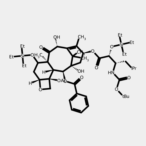 CC[Si](CC)(CC)OC1C[C@H]2OC[C@@]2(OC(C)=O)[C@H]2[C@H](OC(=O)c3ccccc3)[C@]3(O)C[C@H](OC(=O)[C@H](O[Si](CC)(CC)CC)[C@H](CC(C)C)NC(=O)OC(C)(C)C)C(C)=C([C@@H](O)C(=O)[C@]12C)C3(C)C